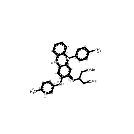 COCC(COC)/N=c1\cc2n(-c3ccc(C)cc3)c3ccccc3nc-2cc1Nc1ccc(C)nc1